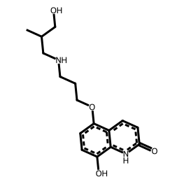 CC(CO)CNCCCOc1ccc(O)c2[nH]c(=O)ccc12